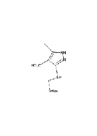 CCCCCCCNc1n[nH]c(C)c1C(=O)O